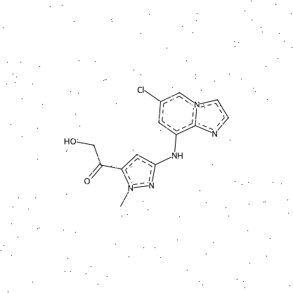 Cn1nc(Nc2cc(Cl)cn3ccnc23)cc1C(=O)CO